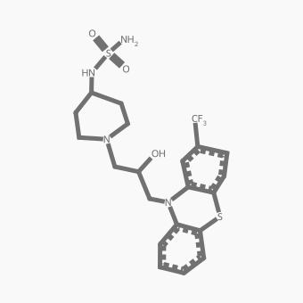 NS(=O)(=O)NC1CCN(CC(O)CN2c3ccccc3Sc3ccc(C(F)(F)F)cc32)CC1